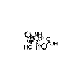 NC(c1ccccc1)C(C(=O)Nc1cccc(C(=O)O)c1)[PH](=O)CO